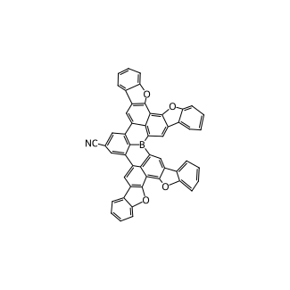 N#Cc1cc2c3c(c1)-c1cc4c5ccccc5oc4c4c1c(cc1c5ccccc5oc14)B3c1cc3c4ccccc4oc3c3c1c-2cc1c2ccccc2oc13